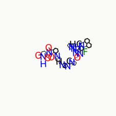 C#Cc1cccc2cccc(-c3ncc4c(N5CC6CCC(C5)N6)nc(OC[C@@H]5CC[C@H](CN6CCN(CC7CCN(c8cccc9c8C(=O)N(C8CCC(=O)NC8=O)C9=O)CC7)CC6)N5C)nc4c3F)c12